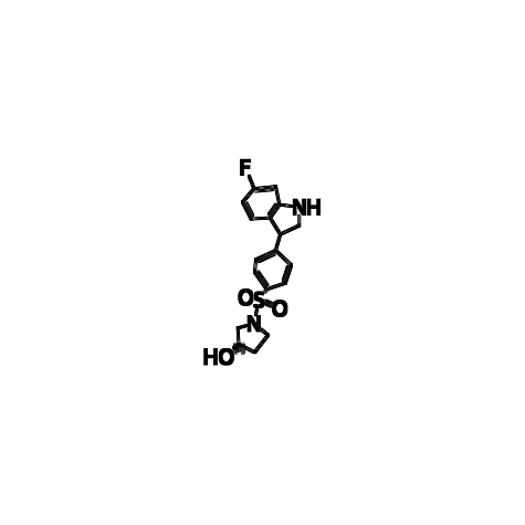 O=S(=O)(c1ccc(C2CNc3cc(F)ccc32)cc1)N1CC[C@@H](O)C1